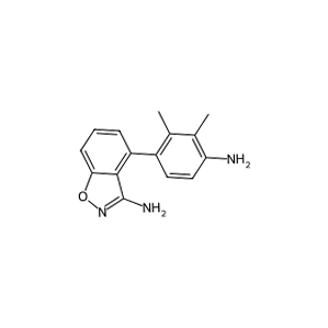 Cc1c(N)ccc(-c2cccc3onc(N)c23)c1C